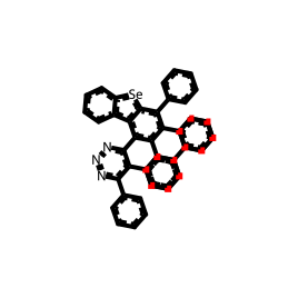 c1ccc(-c2ccccc2-c2c(-c3ccccc3)c(-c3ccccc3)c3[se]c4ccccc4c3c2-c2nnnc(-c3ccccc3)c2-c2ccccc2)cc1